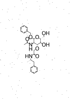 CC(=O)N[C@H]1[C@@H](OCc2ccccc2)O[C@H](CO)[C@@H](O)[C@@H]1O[C@@H](C)C(=O)N[C@@H](C)Cc1ccccc1